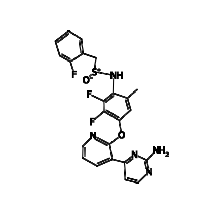 Cc1cc(Oc2ncccc2-c2ccnc(N)n2)c(F)c(F)c1N[S+]([O-])Cc1ccccc1F